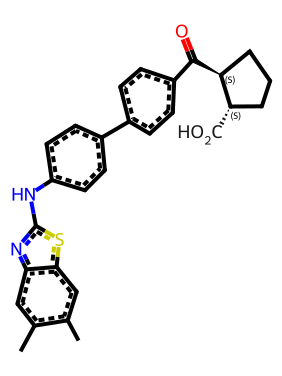 Cc1cc2nc(Nc3ccc(-c4ccc(C(=O)[C@H]5CCC[C@@H]5C(=O)O)cc4)cc3)sc2cc1C